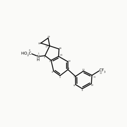 O=C(O)NC1c2ccc(-c3cccc(C(F)(F)F)c3)cc2CC12CC2